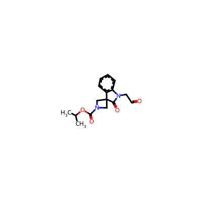 CC(C)OC(=O)N1CC2(C1)C(=O)N(CC=O)c1ccccc12